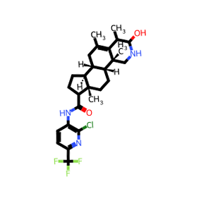 CC1=C2C(C)C(O)NC[C@]2(C)[C@@H]2CC[C@]3(C)C(C(=O)Nc4ccc(C(F)(F)F)nc4Cl)CC[C@H]3[C@@H]2C1